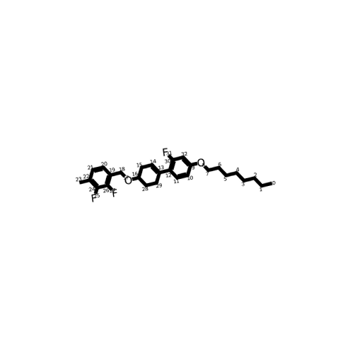 CCCCCCCCOc1ccc(C2=CCC(OCc3ccc(C)c(F)c3F)CC2)c(F)c1